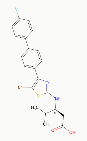 CC(C)[C@H](CC(=O)O)Nc1nc(-c2ccc(-c3ccc(F)cc3)cc2)c(Br)s1